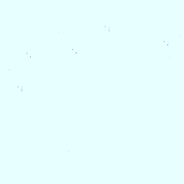 COc1ccc(C(=O)C2CCN(C(=O)c3ccc(C(=O)NC4CCN(Cc5ccc([N+](=O)[O-])cc5)CC4)cn3)CC2)cc1